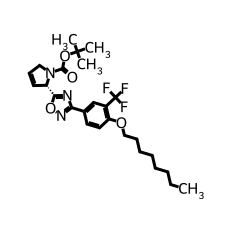 CCCCCCCCOc1ccc(-c2noc([C@@H]3C=CCN3C(=O)OC(C)(C)C)n2)cc1C(F)(F)F